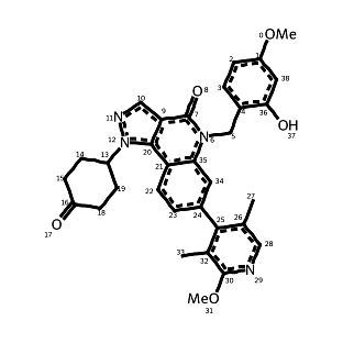 COc1ccc(Cn2c(=O)c3cnn(C4CCC(=O)CC4)c3c3ccc(-c4c(C)cnc(OC)c4C)cc32)c(O)c1